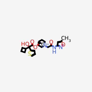 Cc1cc(NC(=O)C[N+]23CCC(CC2)C(OC(=O)[C@@](O)(c2cccs2)C2CCC2)C3)no1